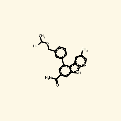 Cc1cnc2[nH]c3cc(C(N)=O)cc(-c4cccc(COC(C)O)c4)c3c2c1